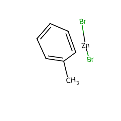 Cc1ccccc1.[Br][Zn][Br]